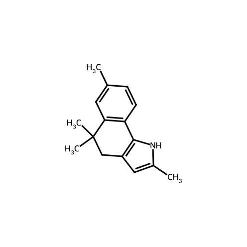 Cc1ccc2c(c1)C(C)(C)Cc1cc(C)[nH]c1-2